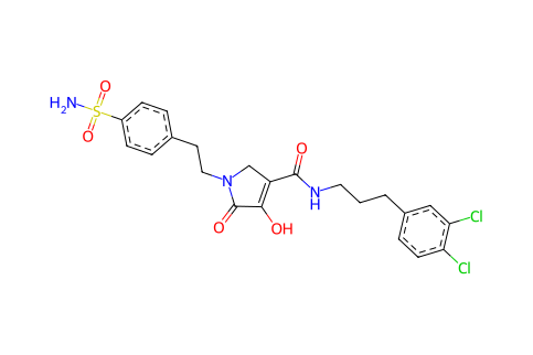 NS(=O)(=O)c1ccc(CCN2CC(C(=O)NCCCc3ccc(Cl)c(Cl)c3)=C(O)C2=O)cc1